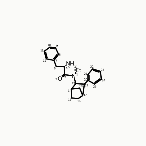 CCN(C(=O)[C@@H](N)Cc1ccccc1)C1C2CCC(C2)C1c1ccccc1